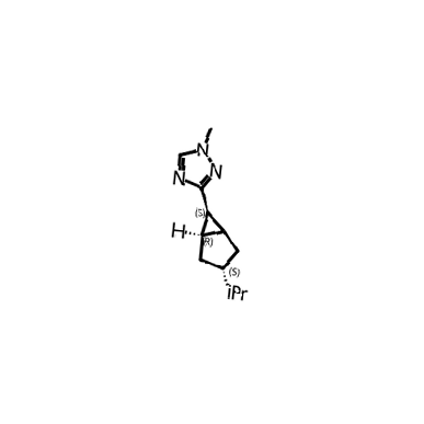 CC(C)[C@H]1CC2[C@@H](C1)[C@H]2c1ncn(C)n1